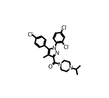 Cc1c(C(=O)N2CCN(C(C)C)CC2)nn(-c2ccc(Cl)cc2Cl)c1-c1ccc(Cl)cc1